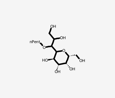 CCCCCOC(C(O)CO)C1O[C@H](CO)[C@H](O)[C@H](O)[C@H]1O